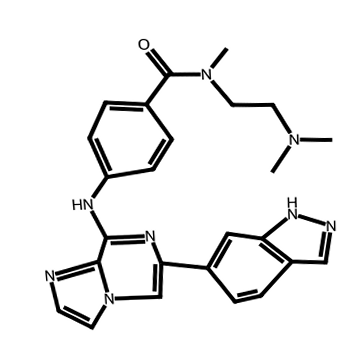 CN(C)CCN(C)C(=O)c1ccc(Nc2nc(-c3ccc4cn[nH]c4c3)cn3ccnc23)cc1